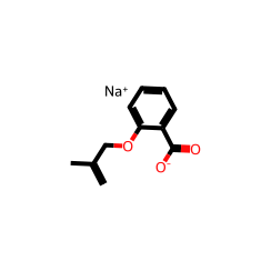 C=C(C)COc1ccccc1C(=O)[O-].[Na+]